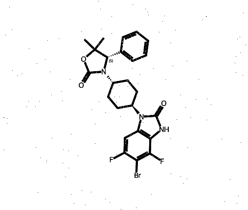 CC1(C)OC(=O)N([C@H]2CC[C@H](n3c(=O)[nH]c4c(F)c(Br)c(F)cc43)CC2)[C@H]1c1ccccc1